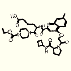 CCOC(=O)N1CCN(C(=O)C(CCCC(=O)O)NC(=O)c2cc(OCC(=O)N3CCCC3C(=O)NC3CCC3)c3ccc(C)cc3n2)CC1